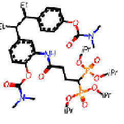 CCC(c1ccc(OC(=O)N(C)C)cc1)C(CC)c1ccc(OC(=O)N(C)C)c(NC(=O)CCC(P(=O)(OC(C)C)OC(C)C)P(=O)(OC(C)C)OC(C)C)c1